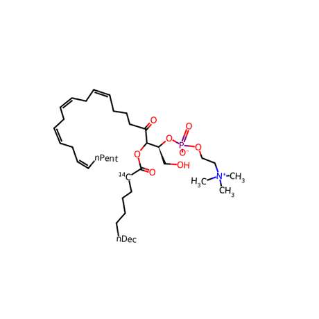 CCCCC/C=C\C/C=C\C/C=C\C/C=C\CCCC(=O)C(OC(=O)[14CH2]CCCCCCCCCCCCCC)[C@H](CO)OP(=O)([O-])OCC[N+](C)(C)C